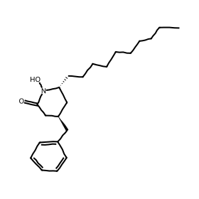 CCCCCCCCCC[C@@H]1C[C@@H](Cc2ccccc2)CC(=O)N1O